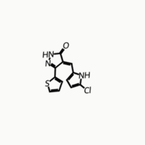 O=C1NN=C(c2cccs2)C1=Cc1ccc(Cl)[nH]1